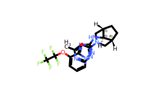 Cc1cc(N2C[C@H]3CC[C@@H](C2)[C@@H]3Nc2nc3c(OC(F)(F)C(F)(F)F)cccn3n2)ncn1